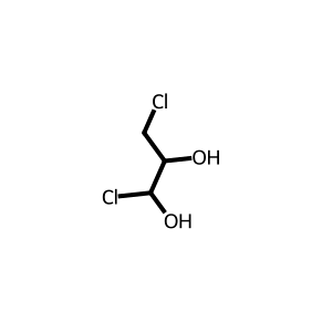 OC(Cl)C(O)CCl